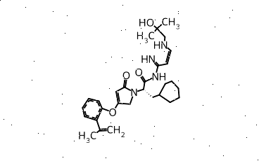 C=C(C)c1ccccc1OC1=CC(=O)N([C@@H](CC2CCCCC2)C(=O)NC(=N)/C=C\NCC(C)(C)O)C1